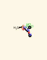 CCCCCS(=O)(=O)NC(=O)CCc1cc(OCc2ccccn2)nn1Cc1ccc(Cl)cc1Cl.Cl